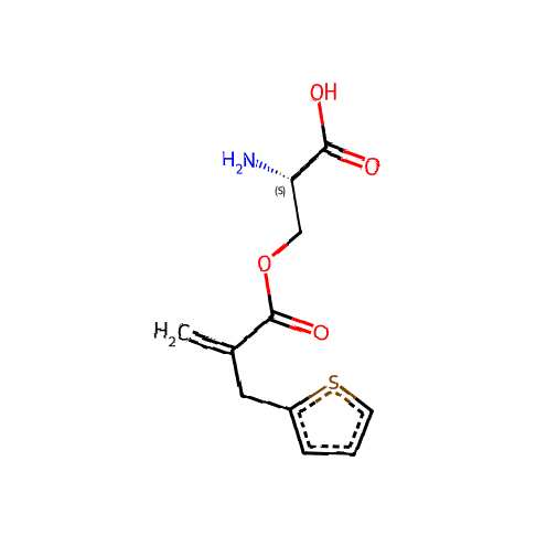 C=C(Cc1cccs1)C(=O)OC[C@H](N)C(=O)O